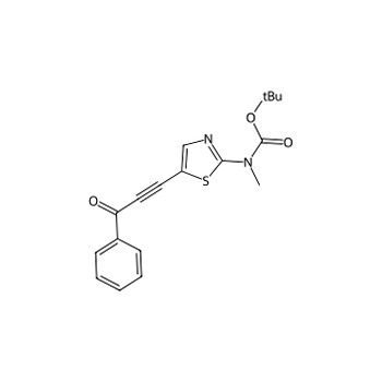 CN(C(=O)OC(C)(C)C)c1ncc(C#CC(=O)c2ccccc2)s1